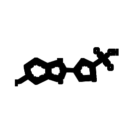 O=S(=O)(O)c1cc(-c2nc3ccc(F)cc3s2)cs1